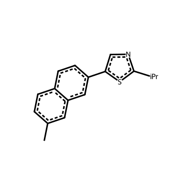 Cc1ccc2ccc(-c3cnc(C(C)C)s3)cc2c1